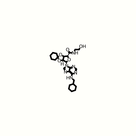 O=C(NCCO)[C@H]1O[C@@H](n2cnc3c(NCC4CCCCC4)ncnc32)[C@H]2OC3(CCCCC3)OC12